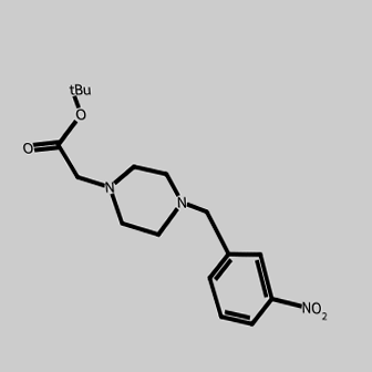 CC(C)(C)OC(=O)CN1CCN(Cc2cccc([N+](=O)[O-])c2)CC1